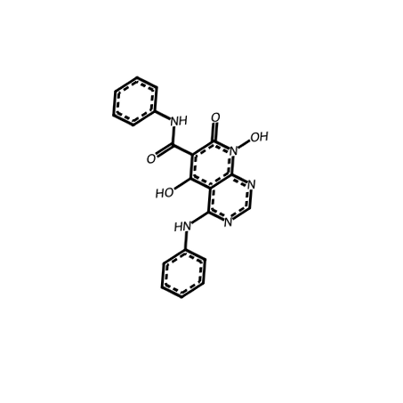 O=C(Nc1ccccc1)c1c(O)c2c(Nc3ccccc3)ncnc2n(O)c1=O